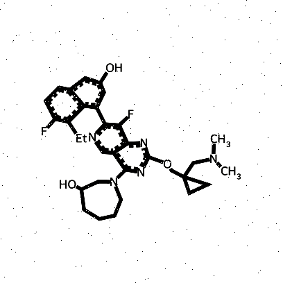 CCc1c(F)ccc2cc(O)cc(-c3ncc4c(N5CCCCC(O)C5)nc(OCC5(CN(C)C)CC5)nc4c3F)c12